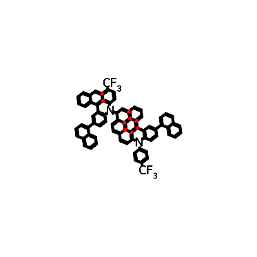 FC(F)(F)c1ccc(N(C2=C3C=CC4=C5C(=CC=C(C=C2)C35)C(N(c2ccc(C(F)(F)F)cc2)c2ccc(-c3cccc5ccccc35)cc2-c2cccc3ccccc23)C=C4)c2ccc(-c3cccc4ccccc34)cc2-c2cccc3ccccc23)cc1